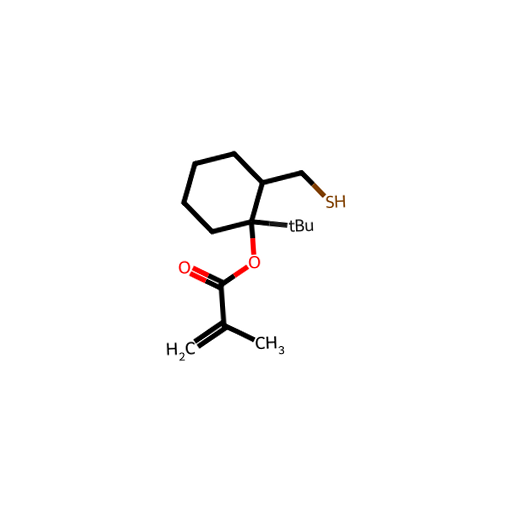 C=C(C)C(=O)OC1(C(C)(C)C)CCCCC1CS